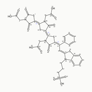 O=C(O)CN1C(=O)S/C(=c2/s/c(=c3/s/c(=C(/C=C4Sc5ccccc5N4CCCS(=O)(=O)O)c4ccccc4)c(=O)n3CC(=O)O)c(=O)n2CC(=O)O)C1=O